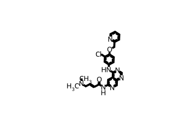 CN(C)CC=CC(=O)Nc1cc2c(Nc3ccc(OCc4ccccn4)c(Cl)c3)ncnc2cn1